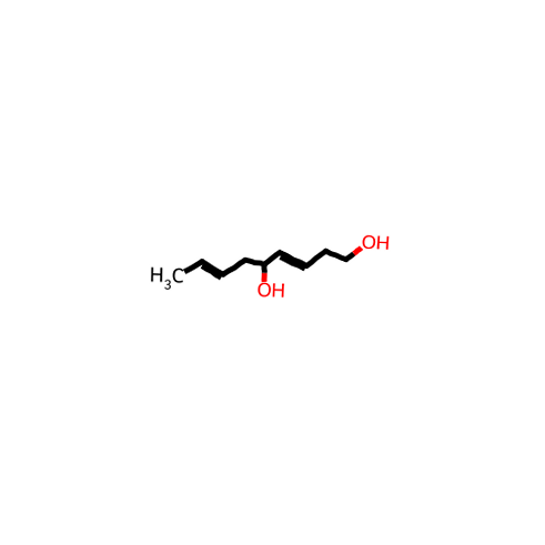 CC=CCC(O)C=CCCO